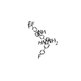 N=S(=O)(c1ccc(C(=O)Nc2cc(-c3ccc(F)cc3)ccc2N)cc1)c1ccc(C(F)(F)F)cc1